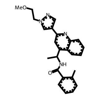 COCCn1cc(-c2cc(C(C)NC(=O)c3ccccc3C)c3ccccc3n2)cn1